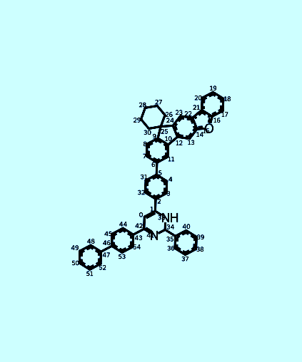 C1=C(c2ccc(-c3ccc4c(c3)-c3cc5oc6ccccc6c5cc3C43CCCCC3)cc2)NC(c2ccccc2)N=C1c1ccc(-c2ccccc2)cc1